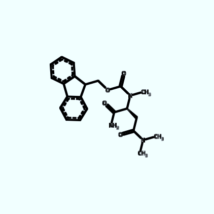 CN(C)C(=O)C[C@@H](C(N)=O)N(C)C(=O)OCC1c2ccccc2-c2ccccc21